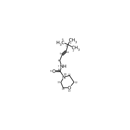 CC(C)(C)C#CCNC(=O)N1CCOCC1